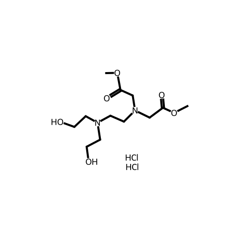 COC(=O)CN(CCN(CCO)CCO)CC(=O)OC.Cl.Cl